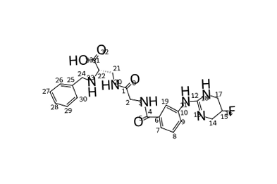 O=C(CNC(=O)c1cccc(NC2=NCC(F)CN2)c1)NC[C@H](NCc1ccccc1)C(=O)O